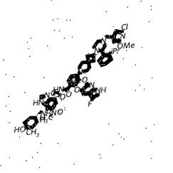 COc1cc(CN2CCN(C3CC4(CCN(c5ccc(C(=O)NS(=O)(=O)c6cc([NH+](C)[O-])c(NC[C@H]7CC[C@](C)(O)CC7)c7[nH]cnc67)c(Oc6cc7c(F)c[nH]c7nc6OC)c5)CC4)C3)C(c3ccccc3C(C)C)C2)cc(Cl)n1